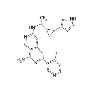 Cc1ccncc1-c1cc2cc(NC(C3CC3c3cn[nH]c3)C(F)(F)F)ncc2c(N)n1